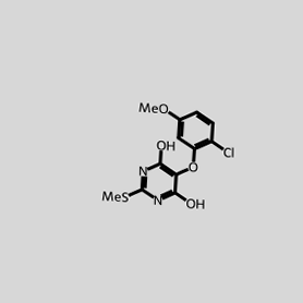 COc1ccc(Cl)c(Oc2c(O)nc(SC)nc2O)c1